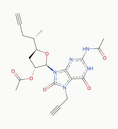 C#CC[C@H](C)[C@@H]1C[C@@H](OC(C)=O)[C@H](n2c(=O)n(CC#C)c3c(=O)[nH]c(NC(C)=O)nc32)O1